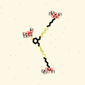 CCO[Si](CCCCCCSSSSSCCC1CCC(SC[Si](OCC)(OCC)OCC)CC1CCSSSSSCCCCCC[Si](OCC)(OCC)OCC)(OCC)OCC